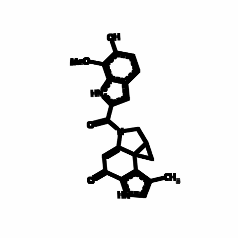 COc1c(O)ccc2cc(C(=O)N3CC4CC45C3=CC(=O)c3[nH]cc(C)c35)[nH]c12